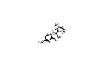 [N-]=[N+]=N[C@]1(CO)O[C@@H](n2ccc(N)nc2=S)[C@@H](O)C1O